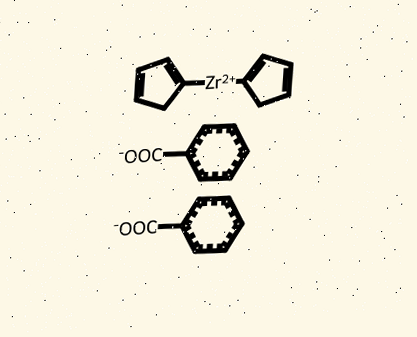 C1=CC[C]([Zr+2][C]2=CC=CC2)=C1.O=C([O-])c1ccccc1.O=C([O-])c1ccccc1